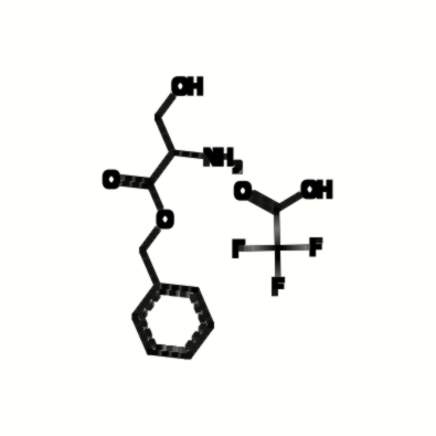 NC(CO)C(=O)OCc1ccccc1.O=C(O)C(F)(F)F